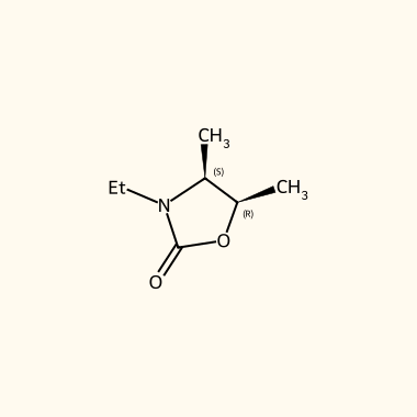 CCN1C(=O)O[C@H](C)[C@@H]1C